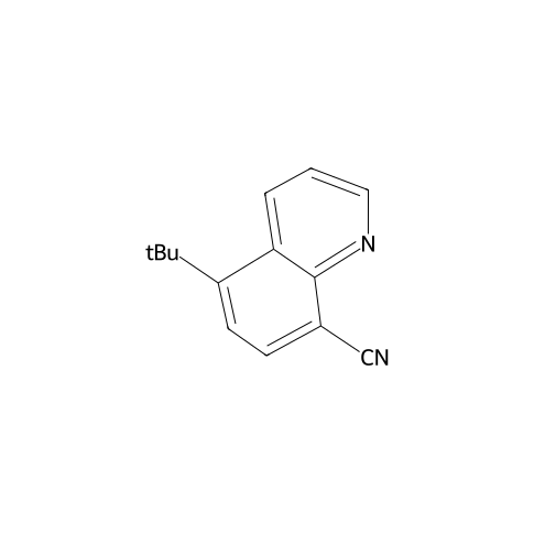 CC(C)(C)c1ccc(C#N)c2ncccc12